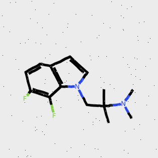 CN(C)C(C)(C)Cn1ccc2ccc(F)c(F)c21